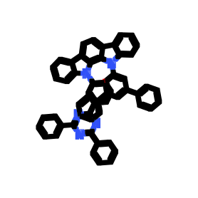 c1ccc(-c2cc(-c3ccccc3)cc(-n3c4ccccc4c4ccc5c6ccccc6n(-c6cccc(-c7nc(-c8ccccc8)nc(-c8ccccc8)n7)c6)c5c43)c2)cc1